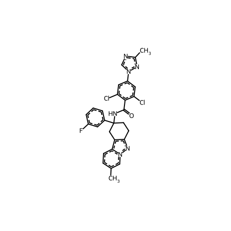 Cc1ccc2c3c(nn2c1)CCC(NC(=O)c1c(Cl)cc(-n2cnc(C)n2)cc1Cl)(c1cccc(F)c1)C3